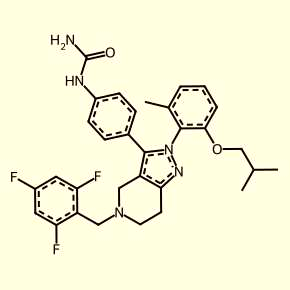 Cc1cccc(OCC(C)C)c1-n1nc2c(c1-c1ccc(NC(N)=O)cc1)CN(Cc1c(F)cc(F)cc1F)CC2